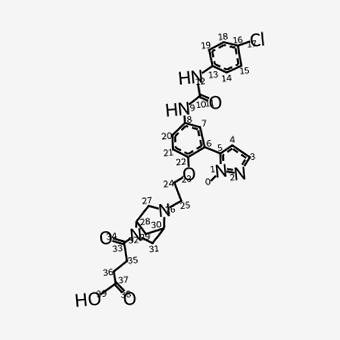 Cn1nccc1-c1cc(NC(=O)Nc2ccc(Cl)cc2)ccc1OCCN1CC2CC1CN2C(=O)CCC(=O)O